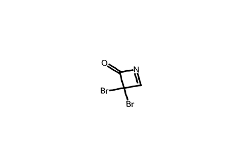 O=C1N=CC1(Br)Br